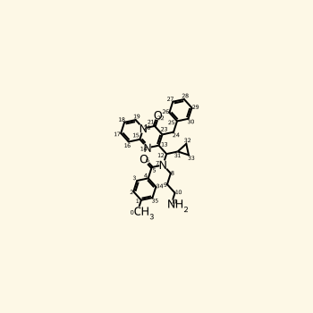 Cc1ccc(C(=O)N(CCCN)C(c2nc3ccccn3c(=O)c2Cc2ccccc2)C2CC2)cc1